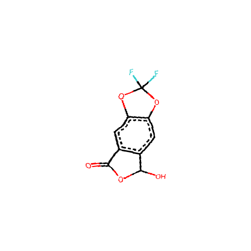 O=C1OC(O)c2cc3c(cc21)OC(F)(F)O3